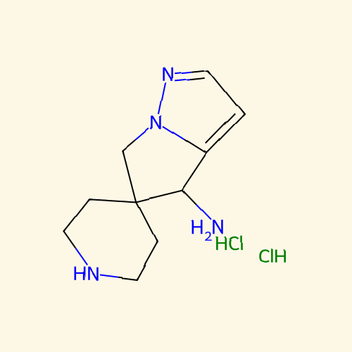 Cl.Cl.NC1c2ccnn2CC12CCNCC2